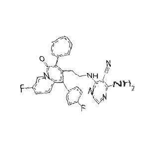 N#Cc1c(N)ncnc1NCCc1c(-c2ccccc2)c(=O)n2cc(F)ccc2c1-c1ccc(F)cc1